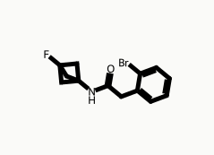 O=C(Cc1ccccc1Br)NC12CC(F)(C1)C2